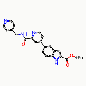 CC(C)(C)OC(=O)c1cc2cc(-c3ccnc(C(=O)NCc4ccncc4)c3)ccc2[nH]1